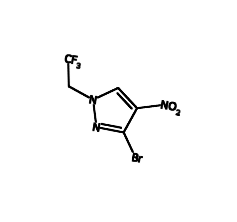 O=[N+]([O-])c1cn(CC(F)(F)F)nc1Br